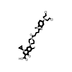 Cn1c(CCCC(=O)N2CCN(c3cc4c(cc3F)c(=O)c(C(=O)O)cn4C3CC3)CC2)nc2cc(N(CCCl)CCCl)ccc21